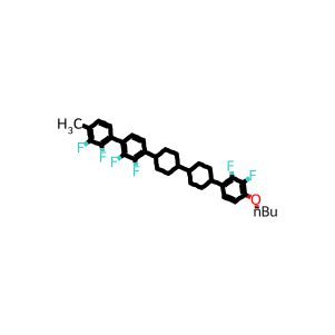 CCCCOc1ccc(C2CCC(C3CCC(c4ccc(-c5ccc(C)c(F)c5F)c(F)c4F)CC3)CC2)c(F)c1F